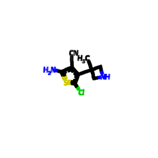 CC1(c2c(Cl)sc(N)c2C#N)CNC1